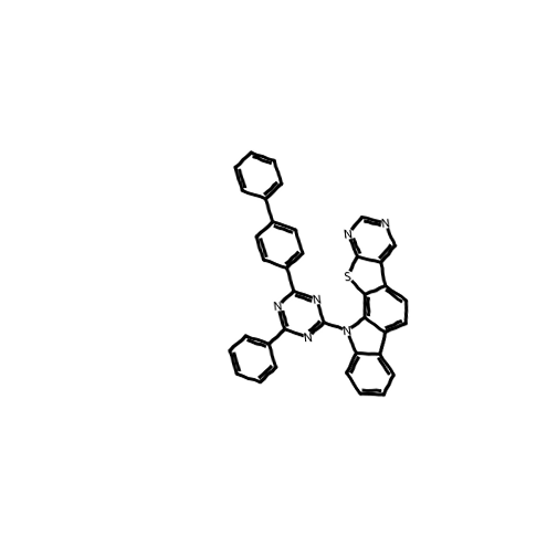 c1ccc(-c2ccc(-c3nc(-c4ccccc4)nc(-n4c5ccccc5c5ccc6c7cncnc7sc6c54)n3)cc2)cc1